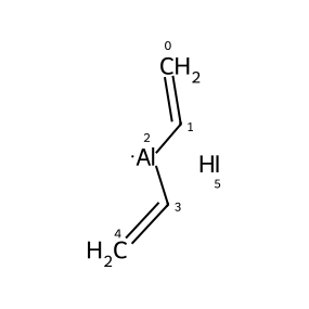 C=[CH][Al][CH]=C.I